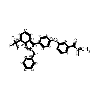 CNC(=O)c1cccc(Oc2ccc(-c3c4cccc(C(F)(F)F)c4nn3Cc3ccccc3)cc2)c1